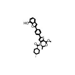 COC(=O)c1sc(-c2ccc(-c3cc4cccc(O)c4o3)cc2)cc1N(C(=O)[C@H]1CC[C@H](C)CC1)C(C)C